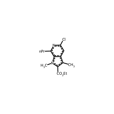 CCCc1nc(Cl)cc2c(C)c(C(=O)OCC)n(C)c12